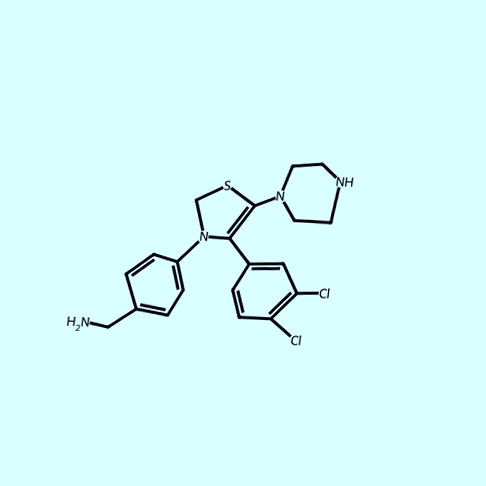 NCc1ccc(N2CSC(N3CCNCC3)=C2c2ccc(Cl)c(Cl)c2)cc1